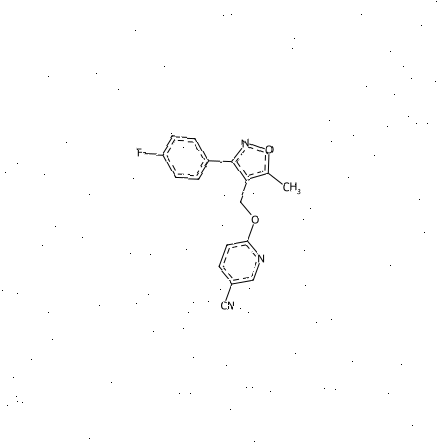 Cc1onc(-c2ccc(F)cc2)c1COc1ccc(C#N)cn1